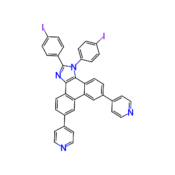 Ic1ccc(-c2nc3c4ccc(-c5ccncc5)cc4c4cc(-c5ccncc5)ccc4c3n2-c2ccc(I)cc2)cc1